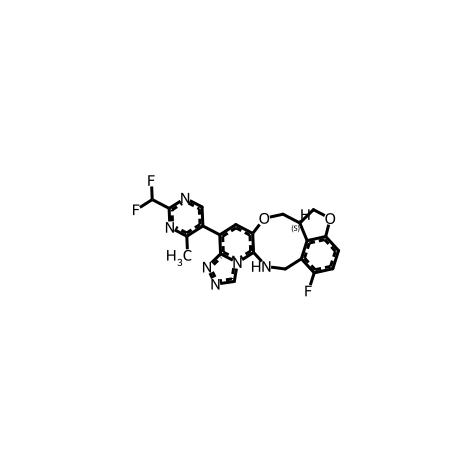 Cc1nc(C(F)F)ncc1-c1cc2c(n3cnnc13)NCc1c(F)ccc3c1[C@@H](CO3)CO2